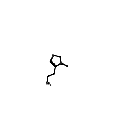 CN1CSC=C1CCN